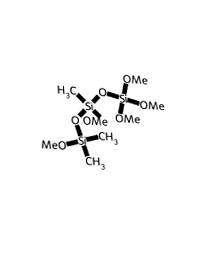 CO[Si](C)(C)O[Si](C)(OC)O[Si](OC)(OC)OC